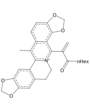 C=C(C(=O)CCCCCC)c1c2c3c(ccc2c(C)c2[n+]1CCc1cc4c(cc1-2)OCO4)OCO3